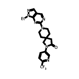 CCn1ncc2cnc(N3CCC4(CC3)CC(=O)N(c3ccc(C(F)(F)F)nc3)C4)nc21